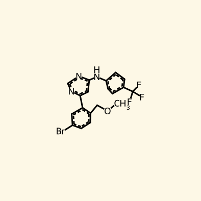 COCc1ccc(Br)cc1-c1cc(Nc2ccc(C(F)(F)F)cc2)ncn1